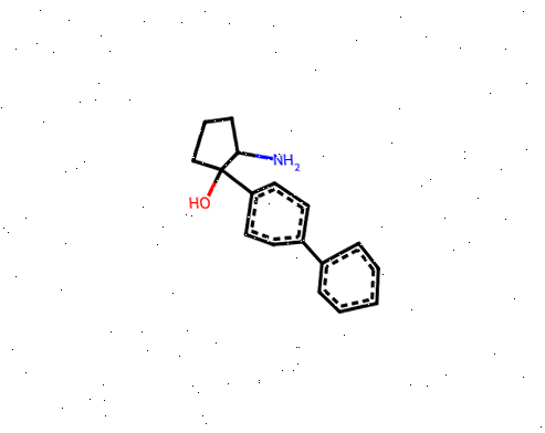 NC1CCCC1(O)c1ccc(-c2ccccc2)cc1